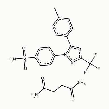 Cc1ccc(-c2cc(C(F)(F)F)nn2-c2ccc(S(N)(=O)=O)cc2)cc1.NC(=O)CCC(N)=O